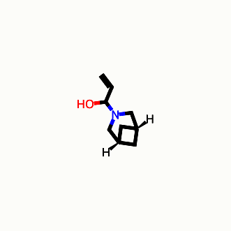 C=CC(O)N1C[C@H]2C[C@@H](C1)C2